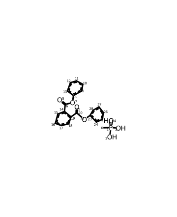 C[PH](O)(O)O.O=C(Oc1ccccc1)c1ccccc1C(=O)Oc1ccccc1